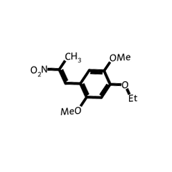 CCOc1cc(OC)c(C=C(C)[N+](=O)[O-])cc1OC